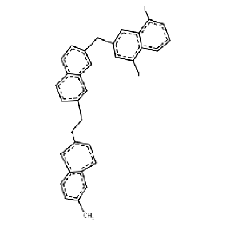 Cc1ccc2cc(CCc3ccc4ccc(Cc5cc(I)c6cccc(I)c6c5)cc4c3)ccc2c1